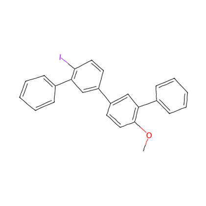 COc1ccc(-c2ccc(I)c(-c3ccccc3)c2)cc1-c1ccccc1